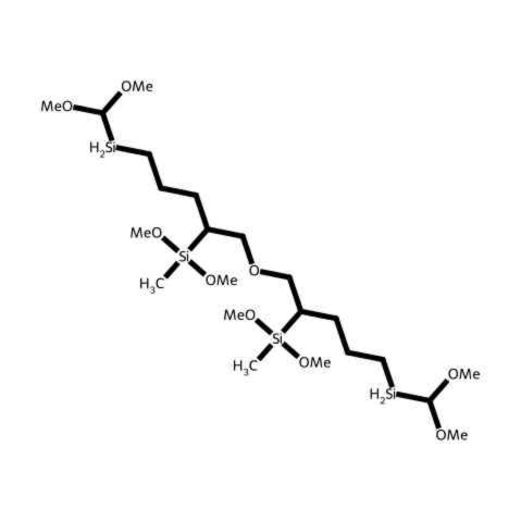 COC(OC)[SiH2]CCCC(COCC(CCC[SiH2]C(OC)OC)[Si](C)(OC)OC)[Si](C)(OC)OC